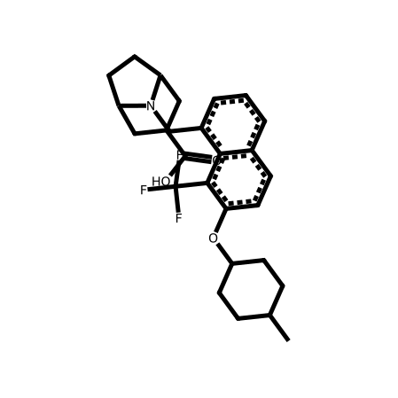 CC1CCC(Oc2ccc3cccc(CN4C5CCC4CC(C(=O)O)C5)c3c2C(F)(F)F)CC1